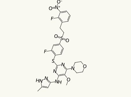 COc1c(Nc2cc(C)[nH]n2)nc(Sc2ccc(S(=O)(=O)CCc3cccc([N+](=O)[O-])c3F)cc2F)nc1N1CCOCC1